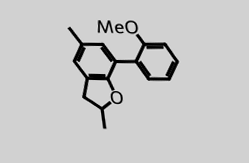 COc1ccccc1-c1cc(C)cc2c1OC(C)C2